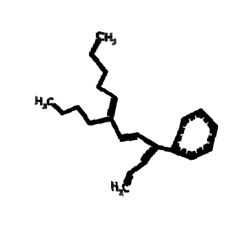 C=CC=C(C=CC(=CCCCC)CCCC)c1ccccc1